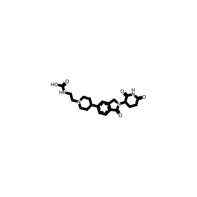 O=C(O)NCCN1CCC(c2ccc3c(c2)CN(C2CCC(=O)NC2=O)C3=O)CC1